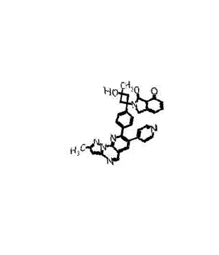 Cc1cc2ncc3cc(-c4ccncc4)c(-c4ccc(C5(N6CC7=CC=CC(=O)C7C6=O)CC(C)(O)C5)cc4)nc3n2n1